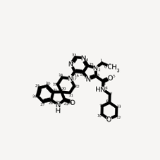 CCn1c(C(=O)NCC2CCOCC2)nc2c(N3CCC4(CC3)C(=O)Nc3ccccc34)ncnc21